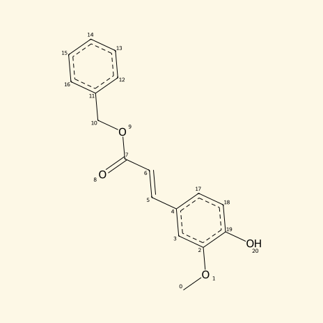 COc1cc(C=CC(=O)OCc2ccccc2)ccc1O